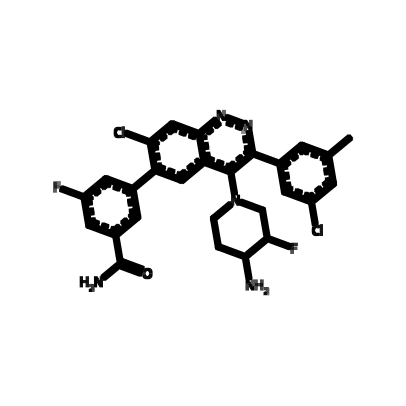 Cc1cc(Cl)cc(-c2nnc3cc(Cl)c(-c4cc(F)cc(C(N)=O)c4)cc3c2N2CCC(N)C(F)C2)c1